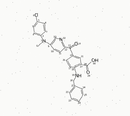 CN(c1ccc(Cl)cc1)c1ccc(C(=O)c2ccc(NCc3ccccc3)c(C(=O)O)c2)nc1